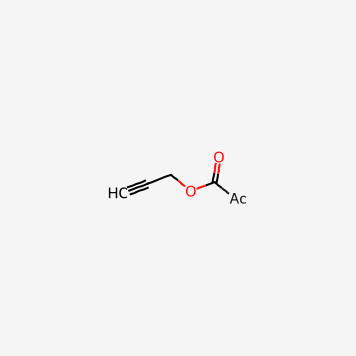 C#CCOC(=O)C(C)=O